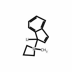 [Li][C]1([Si]2(C)CCC2)C=Cc2ccccc21